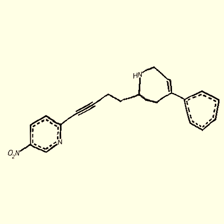 O=[N+]([O-])c1ccc(C#CCCC2CC(c3ccccc3)=CCN2)nc1